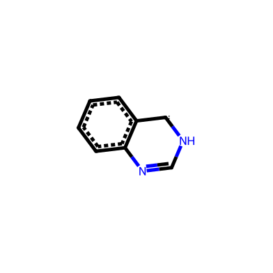 [C]1NC=Nc2ccccc21